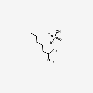 CCCCC[CH](N)[Co].O=S(=O)(O)O